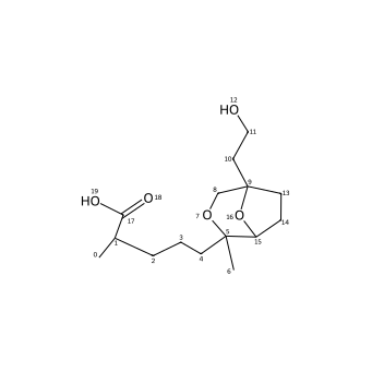 CC(CCCC1(C)OCC2(CCO)CCC1O2)C(=O)O